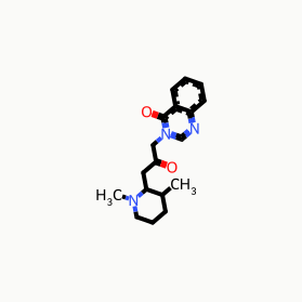 CC1CCCN(C)C1CC(=O)Cn1cnc2ccccc2c1=O